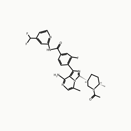 CC(=O)N1C[C@H](c2nc(-c3ccc(C(=O)Nc4cc(C(F)F)ccn4)cc3F)c3c(N)ncc(C)n23)CC[C@@H]1C